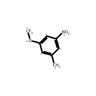 Cc1cc(OC(F)(F)F)cc([N+](=O)[O-])c1